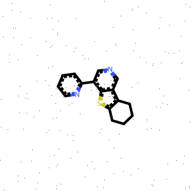 c1ccc(-c2cncc3c4c(sc23)CCCC4)nc1